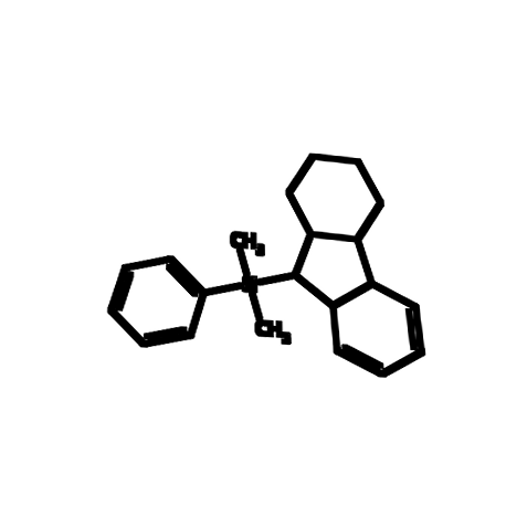 C[Si](C)(c1ccccc1)C1C2C=CC=CC2C2CCCCC21